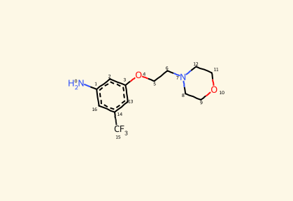 Nc1cc(OCCN2CCOCC2)cc(C(F)(F)F)c1